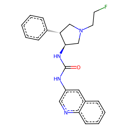 O=C(Nc1cnc2ccccc2c1)N[C@@H]1CN(CCF)C[C@H]1c1ccccc1